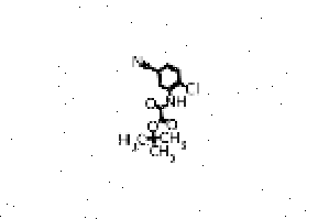 CC(C)(C)OC(=O)C(=O)Nc1cc(C#N)ccc1Cl